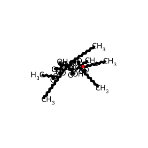 CCCCCCCCCCCC(CCNC(COC1(NC(=O)CC(CCCCCCCCCCC)OC(=O)CCCCC)CC(OC(=O)CC(CCCCCCCCCCC)OC(=O)CCCCC)C(OC=O)C(CO)O1)C(=O)O)OC(=O)CCCCCCCCC